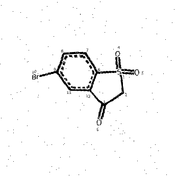 O=C1CS(=O)(=O)c2ccc(Br)cc21